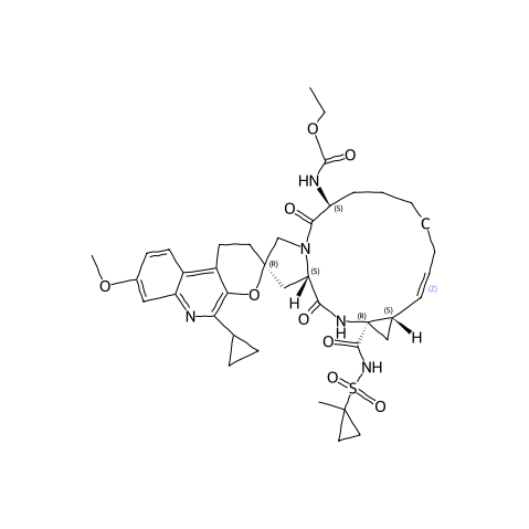 CCOC(=O)N[C@H]1CCCCC/C=C\[C@@H]2C[C@@]2(C(=O)NS(=O)(=O)C2(C)CC2)NC(=O)[C@@H]2C[C@]3(CCc4c(c(C5CC5)nc5cc(OC)ccc45)O3)CN2C1=O